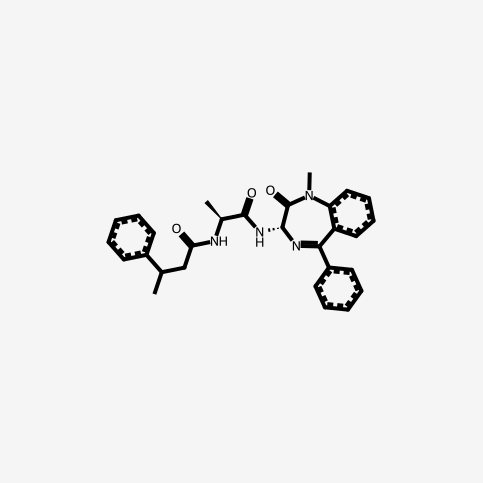 CC(CC(=O)N[C@@H](C)C(=O)N[C@H]1N=C(c2ccccc2)c2ccccc2N(C)C1=O)c1ccccc1